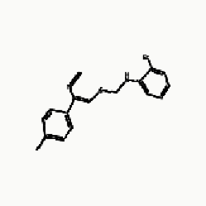 C=N/C(=C\SCNc1ccccc1CC)c1ccc(C)cc1